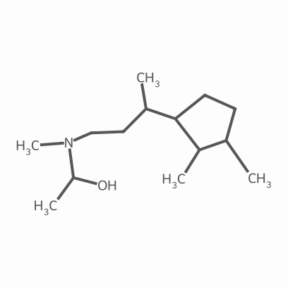 CC1CCC(C(C)CCN(C)C(C)O)C1C